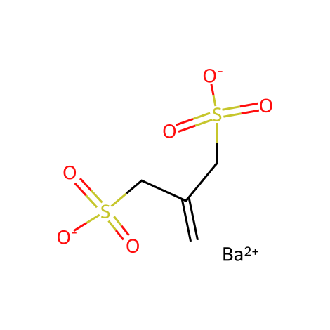 C=C(CS(=O)(=O)[O-])CS(=O)(=O)[O-].[Ba+2]